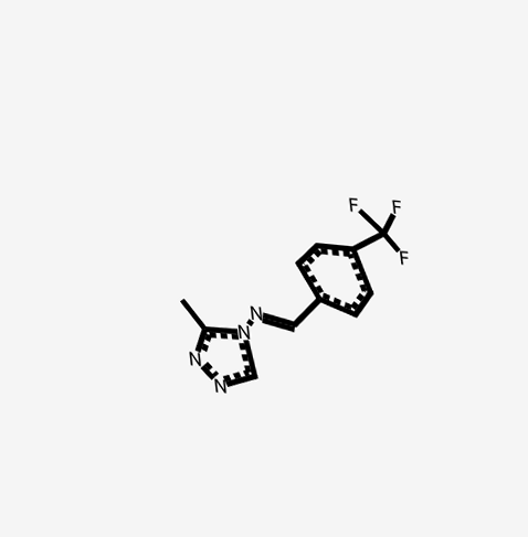 Cc1nncn1N=Cc1ccc(C(F)(F)F)cc1